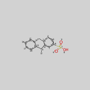 Cc1ccc(S(=O)(=O)O)cc1C(C)c1ccccc1